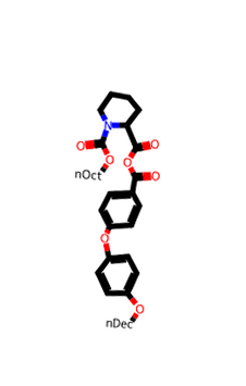 CCCCCCCCCCOc1ccc(Oc2ccc(C(=O)OC(=O)C3CCCCN3C(=O)OCCCCCCCC)cc2)cc1